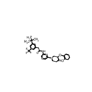 CC(C)(P)c1cc(CC(=O)Nc2cncc(N3CCCC(OC4=C(O)CCC=C4)C3)n2)cc(C(F)(F)F)c1